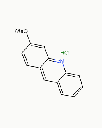 COc1ccc2cc3ccccc3nc2c1.Cl